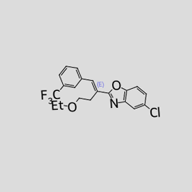 CCOCC/C(=C\c1cccc(C(F)(F)F)c1)c1nc2cc(Cl)ccc2o1